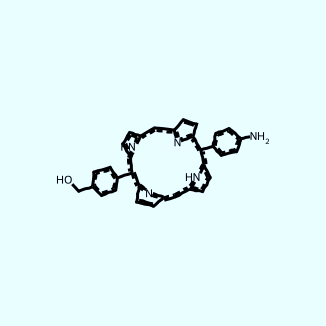 Nc1ccc(-c2c3nc(cc4ccc([nH]4)c(-c4ccc(CO)cc4)c4nc(cc5ccc2[nH]5)C=C4)C=C3)cc1